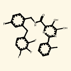 Cc1ccccc1-c1nc(O)c(O)c(C(=O)NCc2ccc(F)cc2Cc2ccc(F)c(F)c2F)n1